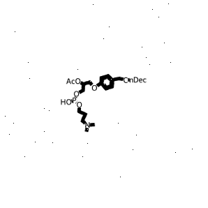 CCCCCCCCCCCCc1ccc(OCC(COP(O)OCCCN(C)C)OC(C)=O)cc1